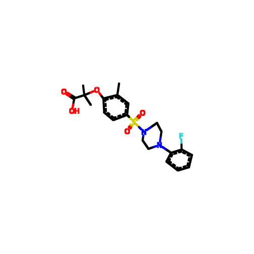 Cc1cc(S(=O)(=O)N2CCN(c3ccccc3F)CC2)ccc1OC(C)(C)C(=O)O